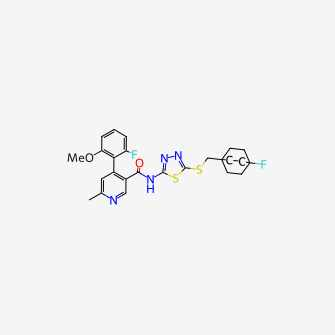 COc1cccc(F)c1-c1cc(C)ncc1C(=O)Nc1nnc(SCC23CCC(F)(CC2)CC3)s1